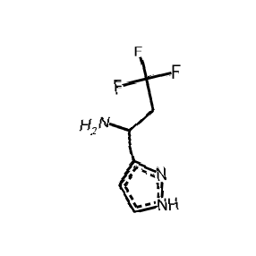 NC(CC(F)(F)F)c1cc[nH]n1